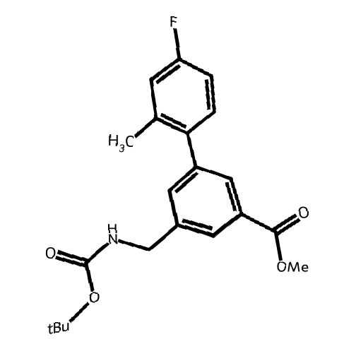 COC(=O)c1cc(CNC(=O)OC(C)(C)C)cc(-c2ccc(F)cc2C)c1